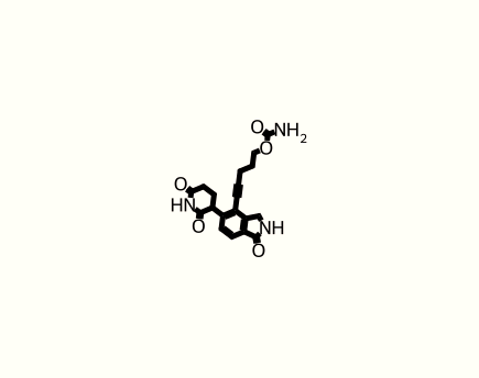 NC(=O)OCCCC#Cc1c(C2CCC(=O)NC2=O)ccc2c1CNC2=O